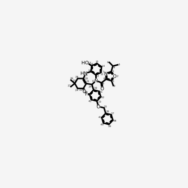 Cc1oc(C(C)C)nc1C(=O)N1c2cccc(O)c2NC2=C(C(=O)CC(C)(C)C2)C1c1ccc(OCc2ccccc2)cc1F